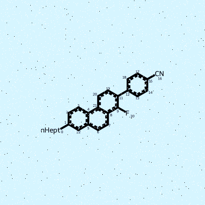 CCCCCCCc1ccc2c(ccc3c(F)c(-c4ccc(C#N)cc4)ccc32)c1